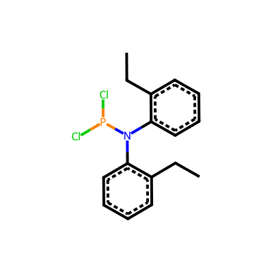 CCc1ccccc1N(c1ccccc1CC)P(Cl)Cl